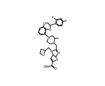 Cc1ccc(C2COc3cccc(N4CCN(CC5=NC6SC(C(=O)N=O)=CC6N5CC5CCO5)C(C)C4)c3O2)c(F)c1